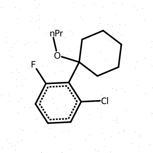 CCCOC1(c2c(F)cccc2Cl)CCCCC1